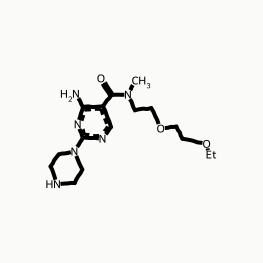 CCOCCOCCN(C)C(=O)c1cnc(N2CCNCC2)nc1N